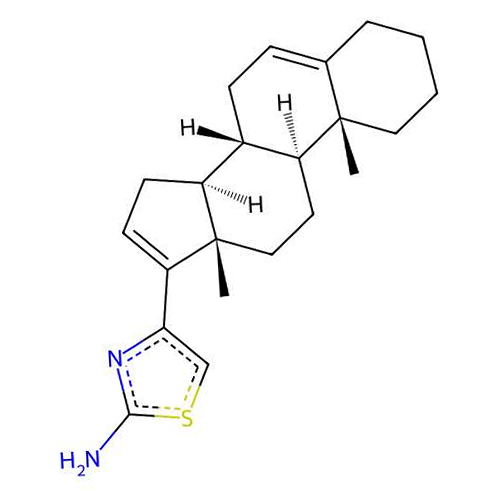 C[C@]12CCCCC1=CC[C@@H]1[C@@H]2CC[C@]2(C)C(c3csc(N)n3)=CC[C@@H]12